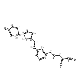 COC(=O)CSCc1cccc(OCc2nc(-c3ccc(C)cc3)cs2)c1